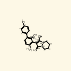 Cc1ccc(-c2ccc(Cl)cc2)c(C)c1-c1c(O)n2n(c1=O)CCCC2